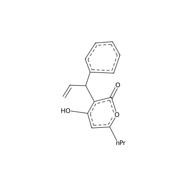 C=CC(c1ccccc1)c1c(O)cc(CCC)oc1=O